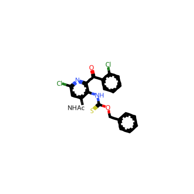 CC(=O)Nc1cc(Cl)nc(C(=O)c2ccccc2Cl)c1NC(=S)OCc1ccccc1